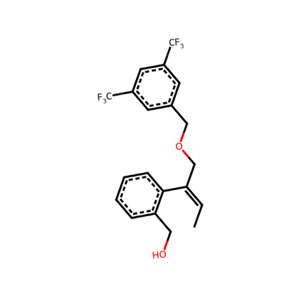 C/C=C(/COCc1cc(C(F)(F)F)cc(C(F)(F)F)c1)c1ccccc1CO